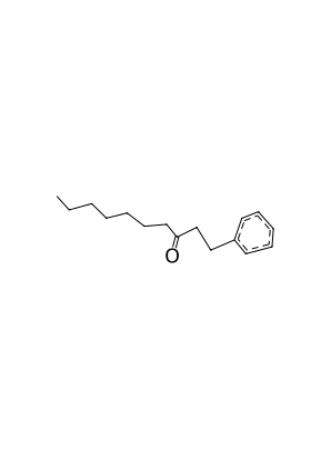 CCCCCCCC(=O)CCc1ccccc1